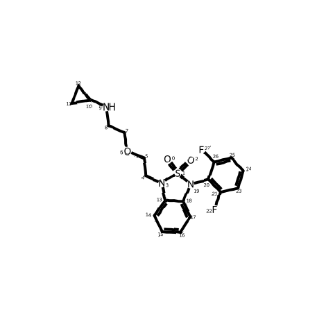 O=S1(=O)N(CCOCCNC2CC2)c2ccccc2N1c1c(F)cccc1F